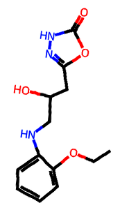 CCOc1ccccc1NCC(O)Cc1n[nH]c(=O)o1